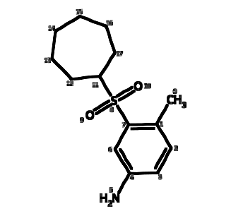 Cc1ccc(N)cc1S(=O)(=O)C1CCCCCC1